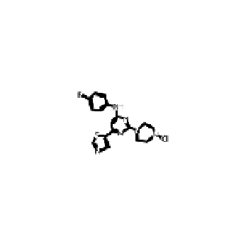 Fc1ccc(Nc2cc(-c3cncs3)nc(N3CCN(Cl)CC3)n2)cc1